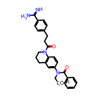 N=C(N)c1ccc(CCC(=O)N2CCCc3cc(N(CC(=O)O)C(=O)c4ccccc4)ccc32)cc1